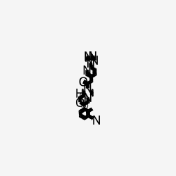 Cc1c(C#N)cccc1[C@@H]1CN2CCN(C(=O)Cc3ccc(-n4cnnn4)nc3)C[C@@H]2CO1